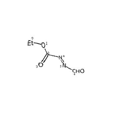 CCOC(=O)/N=N/C=O